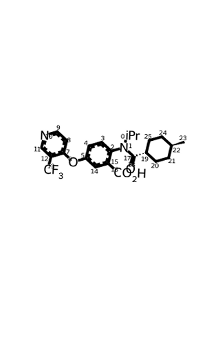 CC(C)N(c1ccc(Oc2ccncc2C(F)(F)F)cc1C(=O)O)C(=O)[C@H]1CC[C@H](C)CC1